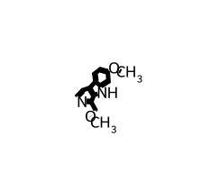 COCc1nccc2c1[nH]c1cc(OC)ccc12